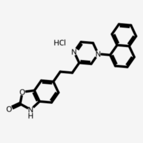 Cl.O=c1[nH]c2ccc(CCC3=CN(c4cccc5ccccc45)CC=N3)cc2o1